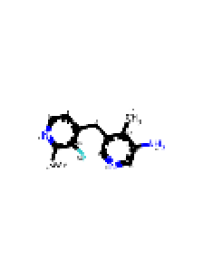 CSc1nccc(Cc2cncc(N)c2C)c1F